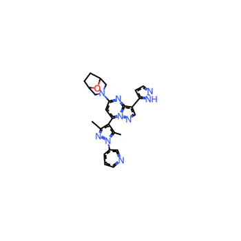 Cc1nn(-c2cccnc2)c(C)c1-c1cc(N2CC3CCC(C2)O3)nc2c(-c3ccn[nH]3)cnn12